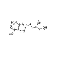 Nc1cc(CCC(O)CO)ccc1[N+](=O)[O-]